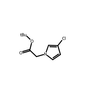 CC(C)(C)OC(=O)Cn1ccc(Cl)c1